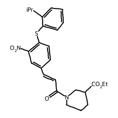 CCOC(=O)C1CCCN(C(=O)C=Cc2ccc(Sc3ccccc3C(C)C)c([N+](=O)[O-])c2)C1